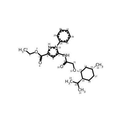 CCOC(=O)c1cc(NC(=O)CO[C@@H]2C[C@H](C)CC[C@H]2C(C)C)n(-c2ccccc2)n1